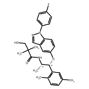 Cc1ccc(C)c([C@@H](Oc2ccc3c(cnn3-c3ccc(F)cc3)c2)[C@H](C)NC(=O)C(C)(C)CO)c1